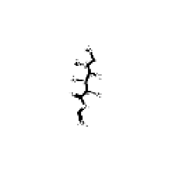 C=COC(=O)[C@H](O)[C@@H](O)[C@H](O)[C@H](O)CO